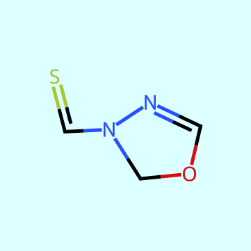 S=CN1COC=N1